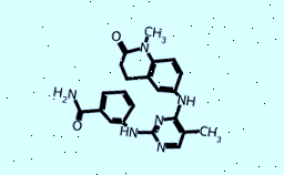 Cc1cnc(Nc2cccc(C(N)=O)c2)nc1Nc1ccc2c(c1)CCC(=O)N2C